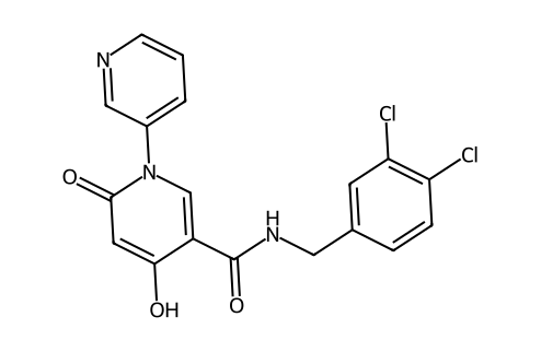 O=C(NCc1ccc(Cl)c(Cl)c1)c1cn(-c2cccnc2)c(=O)cc1O